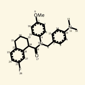 COc1ccc(N(Cc2ccc(N(C)C)cc2)C(=O)C2CCCc3ccc(F)cc32)cc1